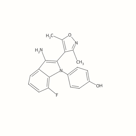 Cc1noc(C)c1-c1c(N)c2cccc(F)c2n1-c1ccc(O)cc1